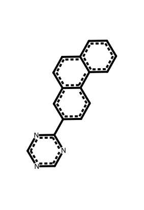 c1ccc2c(c1)ccc1cc(-c3ncncn3)ccc12